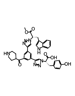 COC(=O)[C@H](Cc1c[nH]c2ccccc12)n1cc(-c2cc(C(=O)C3CCNCC3)cc(-c3cn([C@@H](Cc4ccc(O)cc4)C(=O)O)nn3)c2)nn1